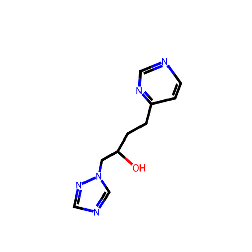 OC(CCc1ccncn1)Cn1cncn1